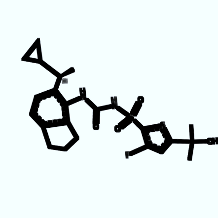 C[C@@H](c1ccc2c(c1NC(=O)NS(=O)(=O)c1sc(C(C)(C)O)cc1F)CCC2)C1CC1